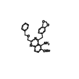 COc1ccc2nc(COCc3ccccc3)nc(Cc3ccc4c(c3)OCO4)c2c1N